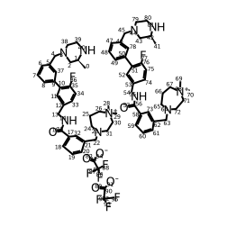 C[C@H]1CN(Cc2cccc(-c3cc(CNC(=O)c4cccc(CN5CCC[N+](C)(C)CC5)c4)ccc3F)c2)CCN1.C[C@H]1CN(Cc2cccc(-c3cc(CNC(=O)c4cccc(CN5CCC[N+](C)(C)CC5)c4)ccc3F)c2)CCN1.O=C([O-])C(F)(F)F.O=C([O-])C(F)(F)F